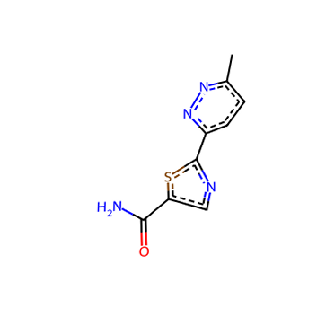 Cc1ccc(-c2ncc(C(N)=O)s2)nn1